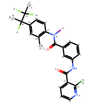 O=C(Nc1cccc(C(=O)N(I)c2ccc(C(F)(C(F)(F)F)C(F)(F)C(F)(F)F)cc2C(F)(F)F)c1)c1cccnc1Cl